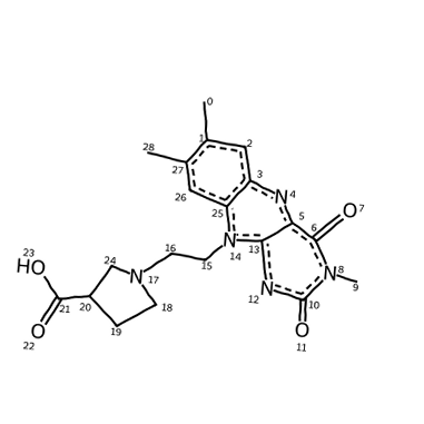 Cc1cc2nc3c(=O)n(C)c(=O)nc-3n(CCN3CCC(C(=O)O)C3)c2cc1C